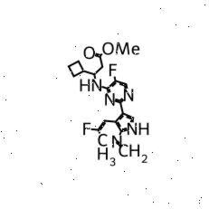 C=Nc1[nH]cc(-c2ncc(F)c(NC(CC(=O)OC)C3CCC3)n2)c1/C=C(\C)F